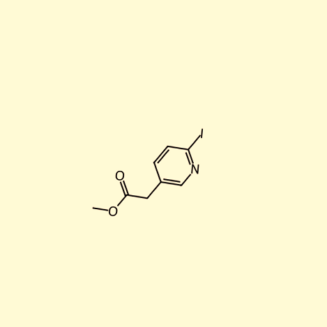 COC(=O)Cc1ccc(I)nc1